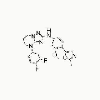 COc1cc(Nc2nc3n(n2)CCCN3c2ccc(F)c(F)c2)ccc1-c1cnc(C)o1